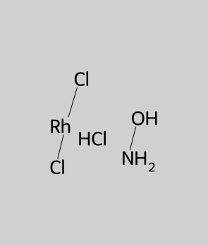 Cl.NO.[Cl][Rh][Cl]